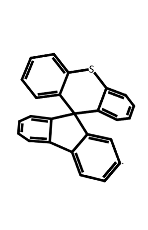 [c]1ccc2c(c1)C1(c3ccccc3Sc3ccccc31)c1ccccc1-2